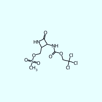 CS(=O)(=O)OCC1NC(=O)C1NC(=O)OCC(Cl)(Cl)Cl